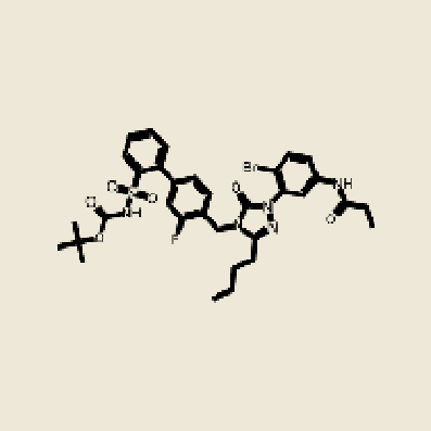 CCCCc1nn(-c2cc(NC(=O)CC)ccc2Br)c(=O)n1Cc1ccc(-c2ccccc2S(=O)(=O)NC(=O)OC(C)(C)C)cc1F